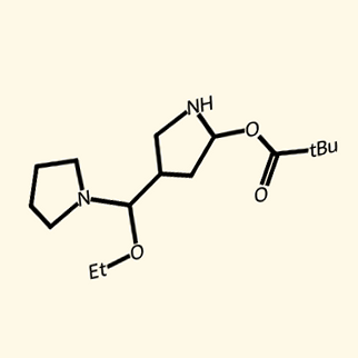 CCOC(C1CNC(OC(=O)C(C)(C)C)C1)N1CCCC1